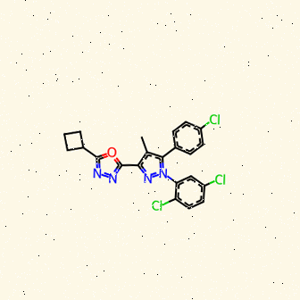 Cc1c(-c2nnc(C3CCC3)o2)nn(-c2cc(Cl)ccc2Cl)c1-c1ccc(Cl)cc1